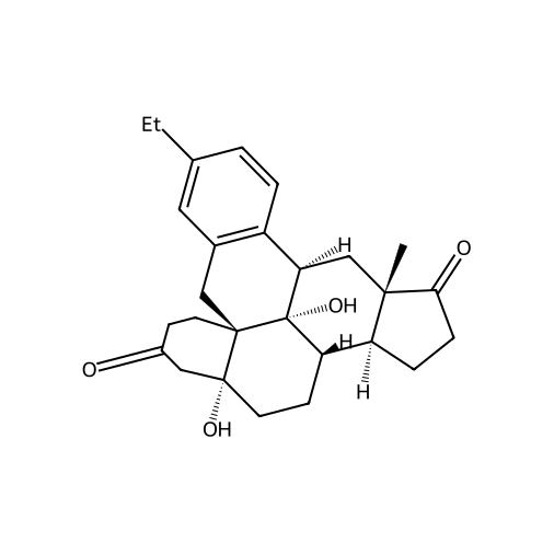 CCc1ccc2c(c1)C[C@]13CCC(=O)C[C@]1(O)CC[C@H]1[C@@H]4CCC(=O)[C@@]4(C)C[C@H]2[C@@]13O